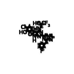 C[C@@]1(c2ccc(Cl)c(O)c2)C(=O)Nc2nc(-c3cn4ccnc4c(Cc4cccc(F)c4)n3)nc(NC[C@@H](O)C(F)(F)F)c21